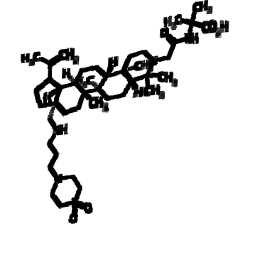 C=C(C)C1CC[C@]2(CNCCCN3CCS(=O)(=O)CC3)CC[C@]3(C)[C@H](CC[C@@H]4[C@@]5(C)CCN(CC(=O)NC(C)(C)C(=O)O)C(C)(C)[C@@H]5CC[C@]43C)[C@@H]12